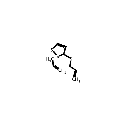 C=CC.C=CCSC1C=CSS1